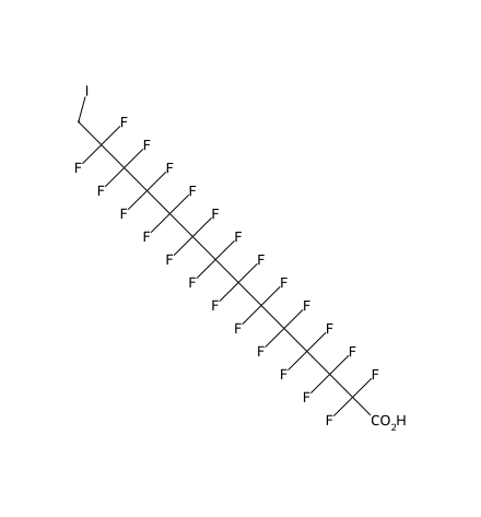 O=C(O)C(F)(F)C(F)(F)C(F)(F)C(F)(F)C(F)(F)C(F)(F)C(F)(F)C(F)(F)C(F)(F)C(F)(F)C(F)(F)C(F)(F)CI